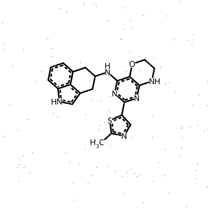 Cc1ncc(-c2nc3c(c(NC4Cc5cccc6[nH]cc(c56)C4)n2)OCCN3)s1